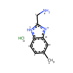 Cc1ccc2[nH]c(CN)nc2c1.Cl